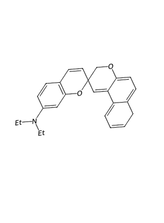 CCN(CC)c1ccc2c(c1)OC1(C=C2)C=c2c(ccc3c2=CC=CC3)OC1